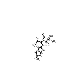 Cc1c(C2=C(C(=O)[O-])N3C(=O)[C@H]([C@@H](C)O)[C@H]3C2)sc2cn(C)c[n+]12